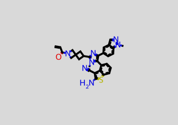 C=CC(=O)N1CC2(CC(c3nc(-c4ccc5c(cnn5C)c4)c(-c4cccc5sc(N)c(C#N)c45)n3C)C2)C1